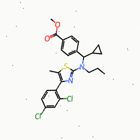 CCCN(c1nc(-c2ccc(Cl)cc2Cl)c(C)s1)C(c1ccc(C(=O)OC)cc1)C1CC1